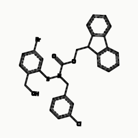 O=C(OCC1c2ccccc2-c2ccccc21)N(Cc1cccc(Cl)c1)Sc1cc(Br)ccc1CO